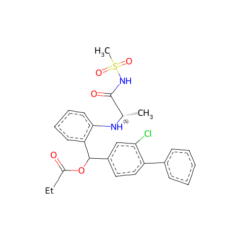 CCC(=O)OC(c1ccc(-c2ccccc2)c(Cl)c1)c1ccccc1N[C@@H](C)C(=O)NS(C)(=O)=O